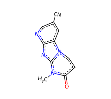 Cn1c(=O)ccn2c3cc(C#N)cnc3nc12